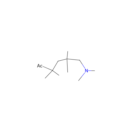 CC(=O)C(C)(C)CC(C)(C)CN(C)C